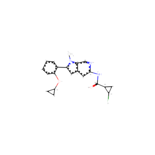 Cn1c(-c2ccccc2OC2CC2)cc2cc(NC(=O)C3CC3F)ncc21